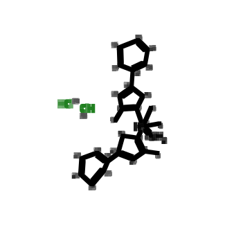 CC1=[C]([Hf]([CH3])([CH3])(=[SiH2])[C]2=C(C)C=C(c3ccccc3)C2)CC(c2ccccc2)=C1.Cl.Cl